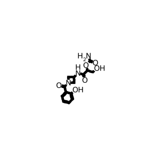 NC(=O)OC(CO)C(=O)NC1CN(C(=O)c2ccccc2O)C1